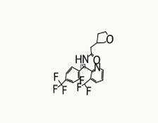 O=C(CC1CCOC1)N[C@@H](c1ccc(C(F)(F)F)cc1)c1ncccc1C(F)(F)F